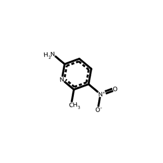 Cc1nc(N)ccc1[N+](=O)[O-]